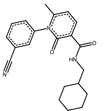 Cc1ccc(C(=O)NCC2CCCCC2)c(=O)n1-c1cccc(C#N)c1